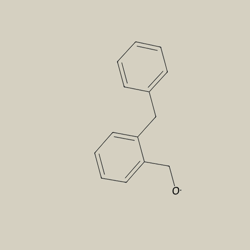 [O]Cc1ccccc1Cc1ccccc1